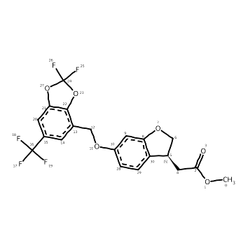 COC(=O)C[C@@H]1COc2cc(OCc3cc(C(F)(F)F)cc4c3OC(F)(F)O4)ccc21